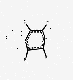 Fc1[c]c(F)c(F)[c]c1F